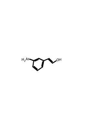 OC=Cc1cccc([AsH2])c1